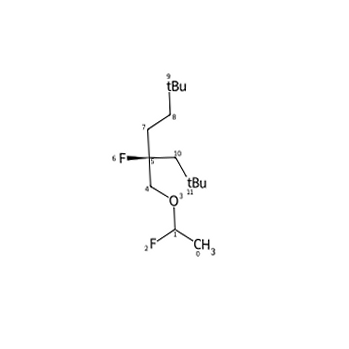 CC(F)OC[C@](F)(CCC(C)(C)C)CC(C)(C)C